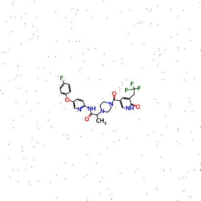 CC(C(=O)Nc1ccc(Oc2ccc(F)cc2)cn1)N1CCN(C(=O)c2c[nH]c(=O)c(CC(F)(F)F)c2)CC1